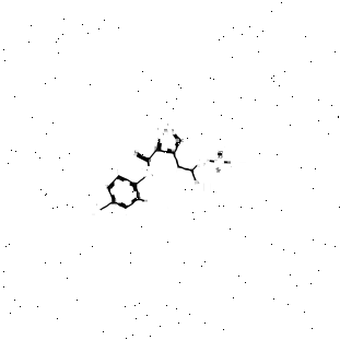 Cc1cc(Br)ccc1NC(=O)c1[nH]ncc1CC(C)OS(C)(=O)=O